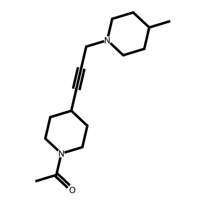 CC(=O)N1CCC(C#CCN2CCC(C)CC2)CC1